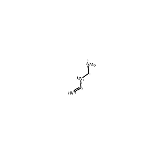 CNCNC=N